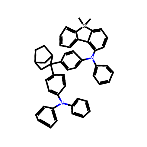 C[Si]1(C)c2ccccc2-c2c(N(c3ccccc3)c3ccc(C4(c5ccc(N(c6ccccc6)c6ccccc6)cc5)CC5CCC4C5)cc3)cccc21